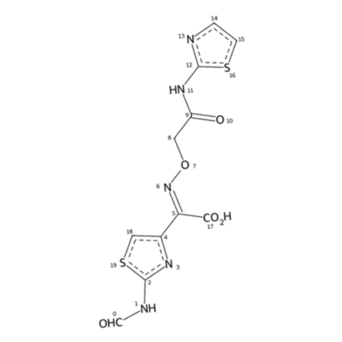 O=CNc1nc(/C(=N/OCC(=O)Nc2nccs2)C(=O)O)cs1